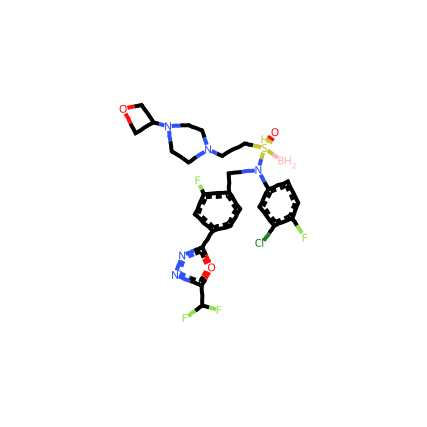 B[SH](=O)(CCN1CCN(C2COC2)CC1)N(Cc1ccc(-c2nnc(C(F)F)o2)cc1F)c1ccc(F)c(Cl)c1